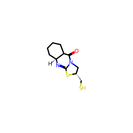 O=C1C2CCCC[C@@H]2N=C2S[C@@H](CS)CN12